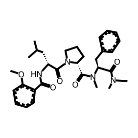 COc1ccccc1C(=O)N[C@H](CC(C)C)C(=O)N1CCC[C@@H]1C(=O)N(C)[C@@H](Cc1ccccc1)C(=O)N(C)C